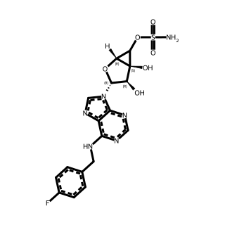 NS(=O)(=O)OC1[C@H]2O[C@@H](n3cnc4c(NCc5ccc(F)cc5)ncnc43)[C@H](O)[C@@]12O